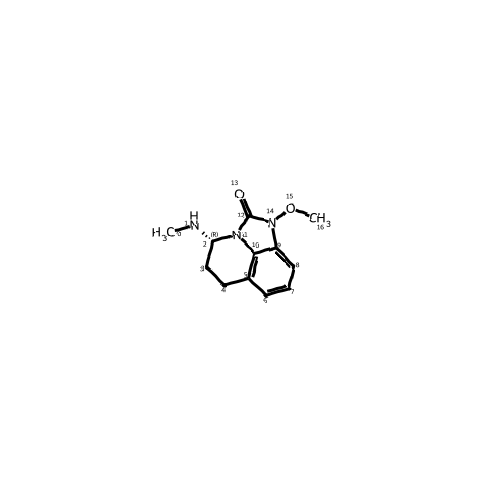 CN[C@H]1CCc2cccc3c2n1c(=O)n3OC